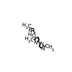 Cc1nccc(-c2ccc(OCC3CC(C)N3)c(C)n2)n1